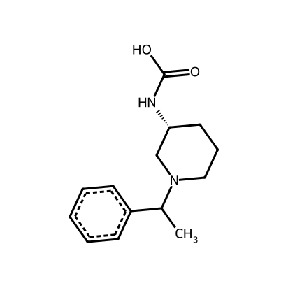 CC(c1ccccc1)N1CCC[C@@H](NC(=O)O)C1